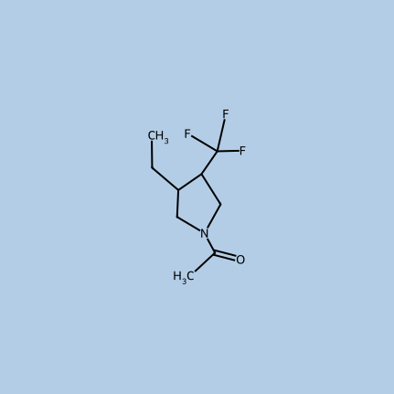 CCC1CN(C(C)=O)CC1C(F)(F)F